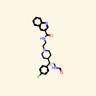 O=CNC[C@H](c1ccc(F)cc1)C1CCN(CCNC(=O)c2cnc3ccccc3c2)CC1